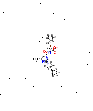 Cc1cc(C(=O)NC(CSCc2ccccc2)C(=O)O)nc(N2CCC(c3ccccc3)CC2)n1